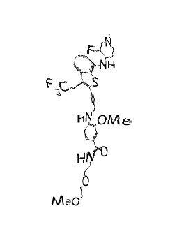 COCCOCCNC(=O)c1ccc(NCC#Cc2sc3c(NC4CCN(C)CC4F)cccc3c2CC(F)(F)F)c(OC)c1